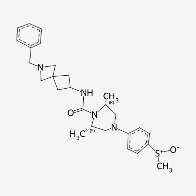 C[C@@H]1CN(c2ccc([S+](C)[O-])cc2)C[C@H](C)N1C(=O)NC1CC2(C1)CN(Cc1ccccc1)C2